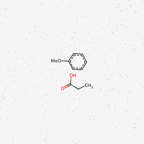 CCC(=O)O.COc1ccccc1